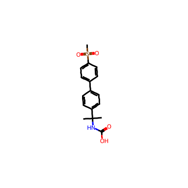 CC(C)(NC(=O)O)c1ccc(-c2ccc(S(C)(=O)=O)cc2)cc1